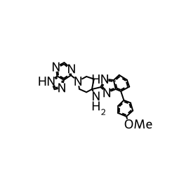 COc1ccc(-c2cccc3[nH]c(C4(N)CCN(c5ncnc6[nH]cnc56)CC4)nc23)cc1